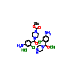 CC(C)(C)OC(=O)N1CCN(C(=O)c2ccc(N)cc2Cl)CC1.Cl.Cl.Nc1ccc(C(=O)N2CCNCC2)c(Cl)c1